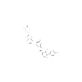 O=C1CCC(c2cc3nccc(Oc4ccc(NC(=O)c5ccnn(-c6ccc(F)cc6)c5=O)cc4F)c3s2)CC1